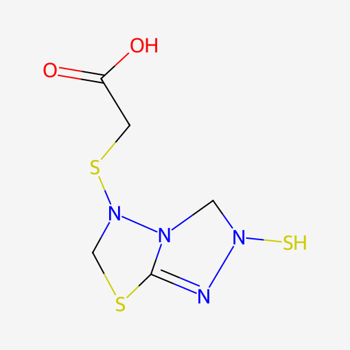 O=C(O)CSN1CSC2=NN(S)CN21